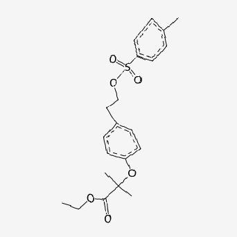 CCOC(=O)C(C)(C)Oc1ccc(CCOS(=O)(=O)c2ccc(C)cc2)cc1